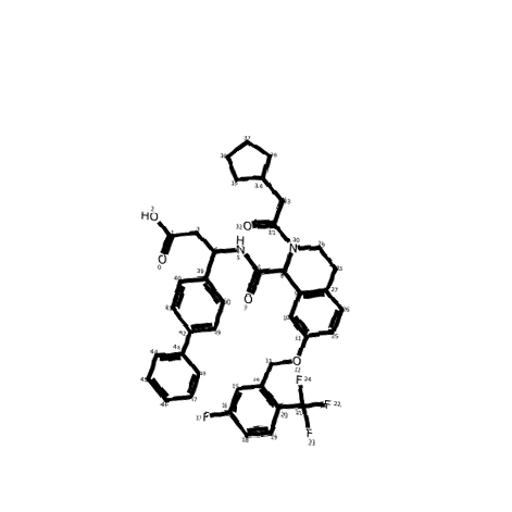 O=C(O)CC(NC(=O)C1c2cc(OCc3cc(F)ccc3C(F)(F)F)ccc2CCN1C(=O)CC1CCCC1)c1ccc(-c2ccccc2)cc1